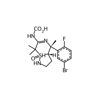 CC1(C)C(NC(=O)O)=N[C@](C)(c2cc(Br)ccc2F)[C@@H]2CCN[SH]21=O